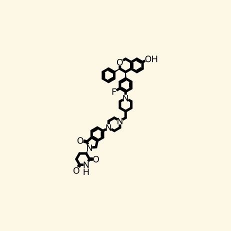 O=C1CC[C@H](N2Cc3cc(N4CCN(CC5CCN(c6ccc([C@@H]7c8ccc(O)cc8CO[C@@H]7c7ccccc7)cc6F)CC5)CC4)ccc3C2=O)C(=O)N1